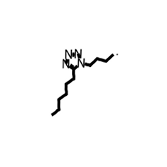 [CH2]CCCn1nnnc1CCCCCC